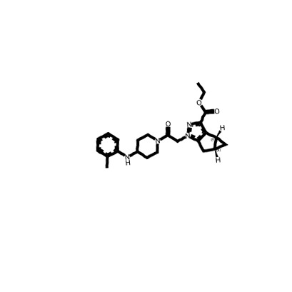 CCOC(=O)c1nn(CC(=O)N2CCC(Nc3ccccc3C)CC2)c2c1[C@@H]1C[C@@H]1C2